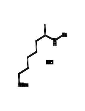 CCCCCCCCCCCC(C)NCC.Cl